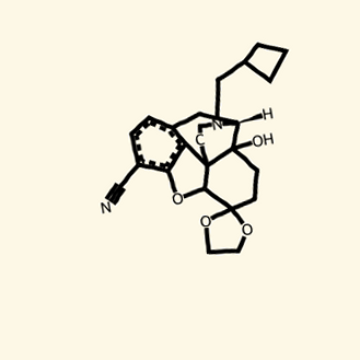 N#Cc1ccc2c3c1OC1C4(CCC5(O)[C@@H](C2)N(CC2CCC2)CCC315)OCCO4